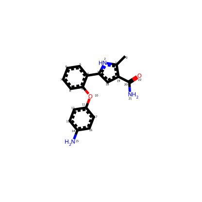 Cc1[nH]c(-c2ccccc2Oc2ccc(N)cc2)cc1C(N)=O